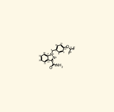 NC(=O)c1nn(Cc2ccc(OC(F)F)cc2)c2ccccc12